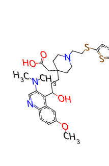 COc1ccc2ncc(N(C)C)c(C(O)CCC3(CC(=O)O)CCN(CCSc4cccs4)CC3)c2c1